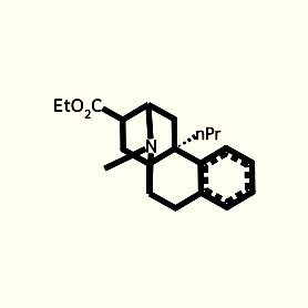 CCC[C@@]12CC3C(C(=O)OCC)CC1C(Cc1ccccc12)N3C